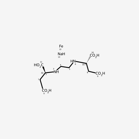 O=C(O)C[C@H](NCCN[C@@H](CC(=O)O)C(=O)O)C(=O)O.[Fe].[NaH]